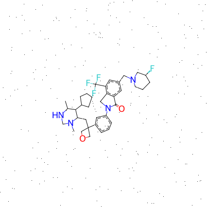 CC1NCN(C)C(CC2(c3cccc(N4Cc5c(cc(CN6CCC[C@H](F)C6)cc5C(F)(F)F)C4=O)c3)COC2)C1C1CCCC1